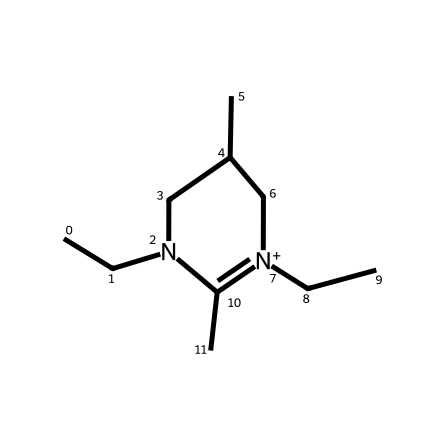 CCN1CC(C)C[N+](CC)=C1C